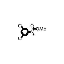 [CH2]OC(=O)N(C)c1cc(Cl)cc(Cl)c1